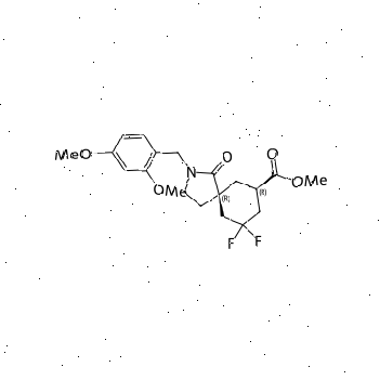 COC(=O)[C@H]1CC(F)(F)C[C@]2(CCN(Cc3ccc(OC)cc3OC)C2=O)C1